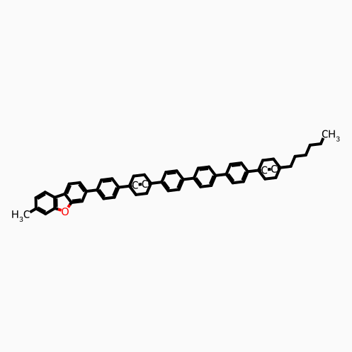 CCCCCCC12CCC(c3ccc(-c4ccc(-c5ccc(C67CCC(c8ccc(-c9ccc%10c(c9)oc9cc(C)ccc9%10)cc8)(CC6)CC7)cc5)cc4)cc3)(CC1)CC2